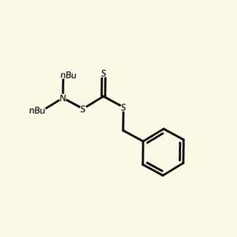 CCCCN(CCCC)SC(=S)SCc1ccccc1